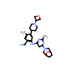 CC1=NC(N2CC3CCC(C2)O3)CC(Nc2cc(C3CCN(C4COC4)CC3)c(C)cc2C=N)=N1